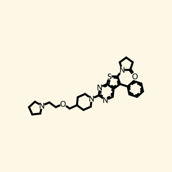 O=C1CCCN1c1sc2nc(N3CCC(COCCN4CCCC4)CC3)ncc2c1-c1ccccc1